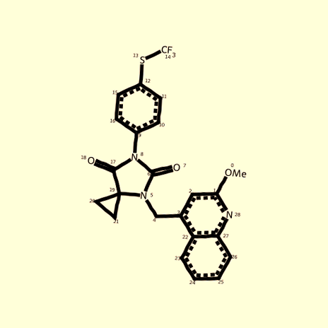 COc1cc(CN2C(=O)N(c3ccc(SC(F)(F)F)cc3)C(=O)C23CC3)c2ccccc2n1